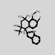 COc1c(F)ccc2c1C(C)(C)CC(O)(C(F)(F)F)C2(O)c1cc2ccccc2[nH]1